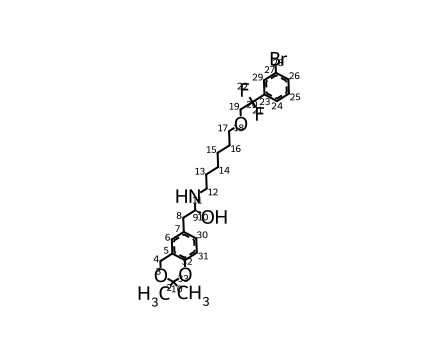 CC1(C)OCc2cc(C[C@H](O)NCCCCCCOCC(F)(F)c3cccc(Br)c3)ccc2O1